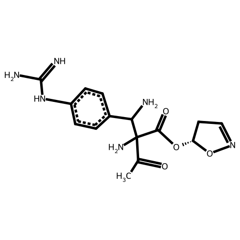 CC(=O)C(N)(C(=O)O[C@@H]1CC=NO1)C(N)c1ccc(NC(=N)N)cc1